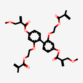 C=C(C)C(=O)OCCOc1cc(OC(=O)C(=C)COC)ccc1-c1ccc(OC(=O)C(=C)COC)cc1OCCOC(=O)C(=C)C